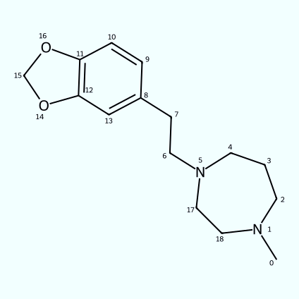 CN1CCCN(CCc2ccc3c(c2)OCO3)CC1